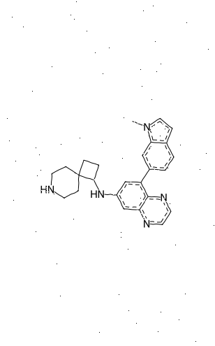 Cn1ccc2ccc(-c3cc(NC4CCC45CCNCC5)cc4nccnc34)cc21